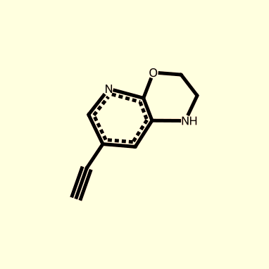 C#Cc1cnc2c(c1)NCCO2